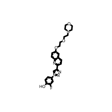 Oc1ccc(-n2cc(-c3ccc4cc(OCCOCCN5CCOCC5)ccc4n3)nn2)cc1F